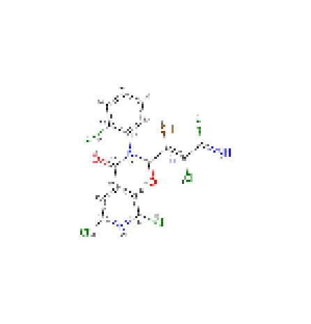 N=C(Cl)/C(Cl)=C(\S)C(=O)N(C(=O)c1cc(Cl)nc(Cl)c1)c1ccccc1Cl